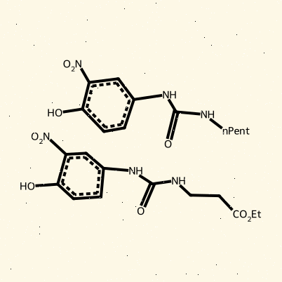 CCCCCNC(=O)Nc1ccc(O)c([N+](=O)[O-])c1.CCOC(=O)CCNC(=O)Nc1ccc(O)c([N+](=O)[O-])c1